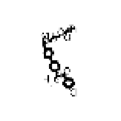 CC(C)C(=O)OCCCN(C)Cc1ccc(C2CCC(N(C)C(=O)c3ccc(Cl)cc3)CC2)cc1